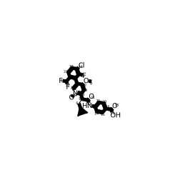 COc1cc([C@@H](CC2CC2)C(=O)Nc2ccc(C(=O)O)cc2)[n+]([O-])cc1-c1c(C(F)F)ccc(Cl)c1F